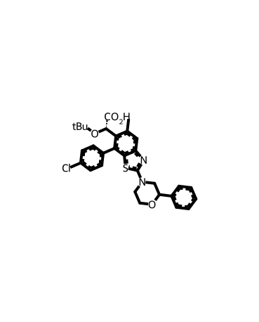 Cc1cc2nc(N3CCOC(c4ccccc4)C3)sc2c(-c2ccc(Cl)cc2)c1[C@H](OC(C)(C)C)C(=O)O